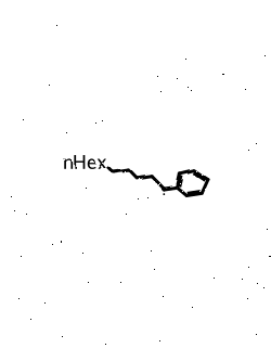 CCCCCCCCCC[CH]c1ccccc1